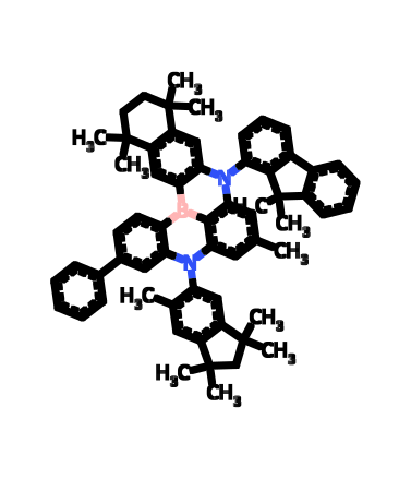 Cc1cc2c3c(c1)N(c1cccc4c1C(C)(C)c1ccccc1-4)c1cc4c(cc1B3c1ccc(-c3ccccc3)cc1N2c1cc2c(cc1C)C(C)(C)CC2(C)C)C(C)(C)CCC4(C)C